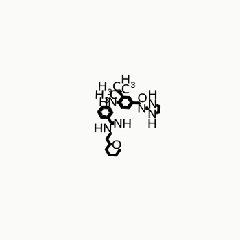 CC(C)(C)c1cc(C(=O)N=C2NCCN2)ccc1Nc1cccc(C(=N)NCCC2CCCCO2)c1